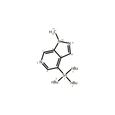 CCC[CH2][Sn]([CH2]CCC)([CH2]CCC)[c]1cncc2c1cnn2C